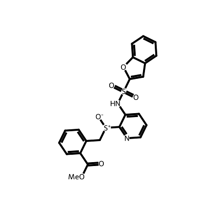 COC(=O)c1ccccc1C[S+]([O-])c1ncccc1NS(=O)(=O)c1cc2ccccc2o1